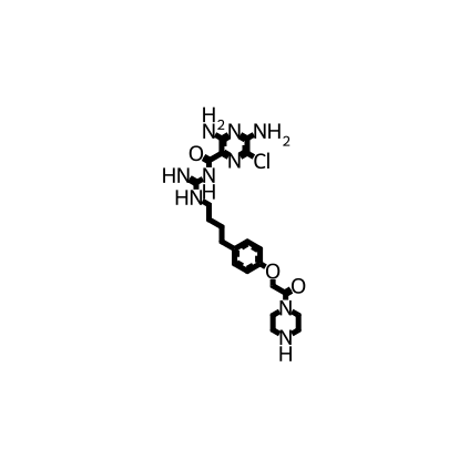 N=C(NCCCCc1ccc(OCC(=O)N2CCNCC2)cc1)NC(=O)c1nc(Cl)c(N)nc1N